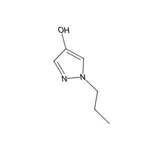 CCCn1cc(O)cn1